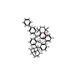 CC1(C)CCC(C)(C)c2c(N(c3ccc(-c4ccccc4)cc3)c3cccc4c3Oc3c(-c5ccccc5)cccc3C43C4CC5CC6CC3C64C5)cccc21